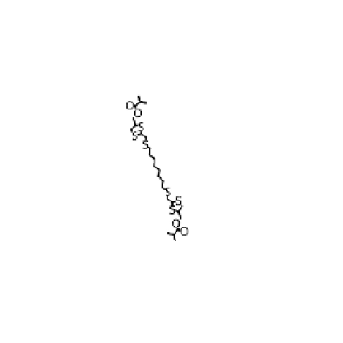 C=C(C)C(=O)OCC1CSC(CSCCCCCCCCSCC2SCC(COC(=O)C(=C)C)S2)S1